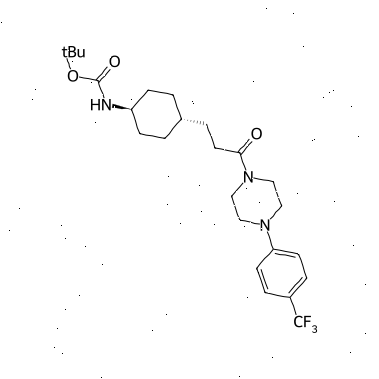 CC(C)(C)OC(=O)N[C@H]1CC[C@H](CCC(=O)N2CCN(c3ccc(C(F)(F)F)cc3)CC2)CC1